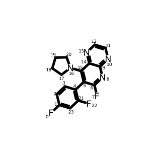 Fc1ccc(-c2c(F)nc3nccnc3c2N2CCCC2)c(F)c1